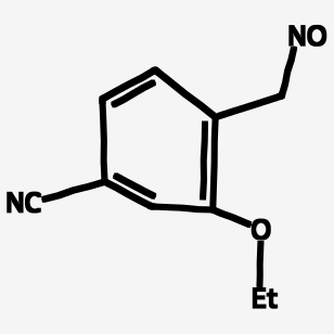 CCOc1cc(C#N)ccc1CN=O